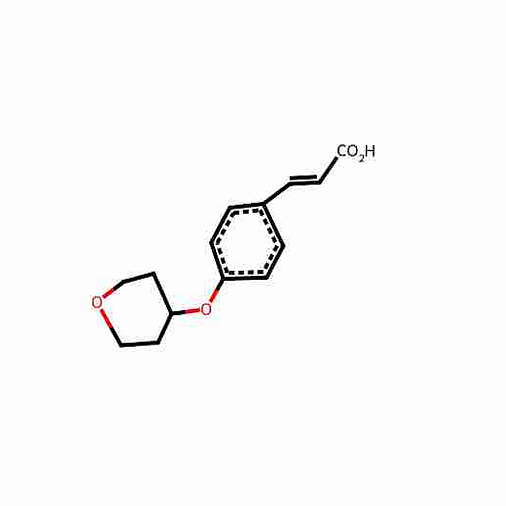 O=C(O)C=Cc1ccc(OC2CCOCC2)cc1